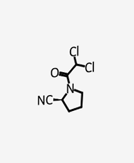 N#C[C@@H]1CCCN1C(=O)C(Cl)Cl